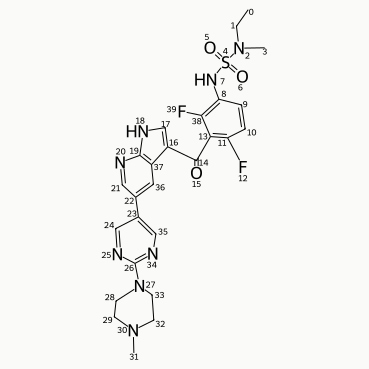 CCN(C)S(=O)(=O)Nc1ccc(F)c(C(=O)c2c[nH]c3ncc(-c4cnc(N5CCN(C)CC5)nc4)cc23)c1F